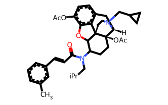 CC(=O)Oc1ccc2c3c1OC1C(N(CC(C)C)C(=O)/C=C/c4cccc(C)c4)CC[C@@]4(OC(C)=O)[C@@H](C2)N(CC2CC2)CC[C@]314